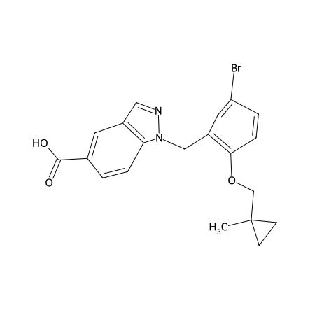 CC1(COc2ccc(Br)cc2Cn2ncc3cc(C(=O)O)ccc32)CC1